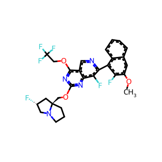 COc1cc2ccccc2c(-c2ncc3c(OCC(F)(F)F)nc(OC[C@@]45CCCN4C[C@H](F)C5)nc3c2F)c1F